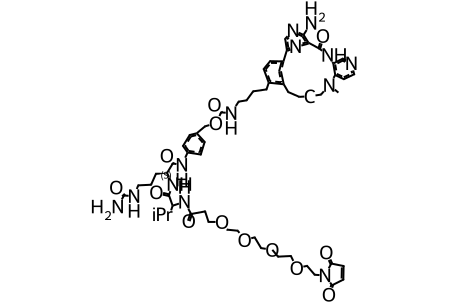 CC(C)C(NC(=O)CCOCCOCCOCCOCCN1C(=O)C=CC1=O)C(=O)N[C@@H](CCCNC(N)=O)C(=O)Nc1ccc(COC(=O)NCCCCc2ccc3cc2CCCCN(C)c2ccncc2NC(=O)c2nc-3cnc2N)cc1